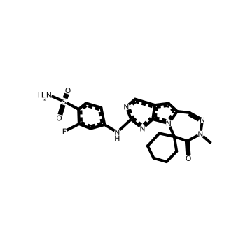 CN1N=Cc2cc3cnc(Nc4ccc(S(N)(=O)=O)c(F)c4)nc3n2C2(CCCCC2)C1=O